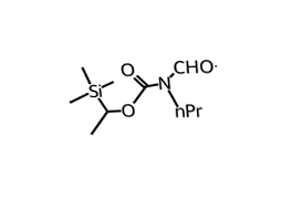 CCCN([C]=O)C(=O)OC(C)[Si](C)(C)C